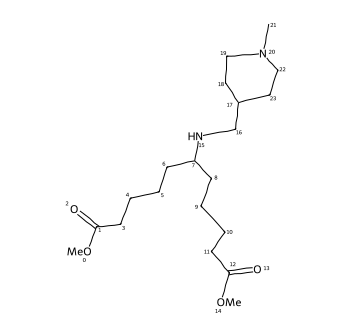 COC(=O)CCCCC(CCCCC(=O)OC)NCC1CCN(C)CC1